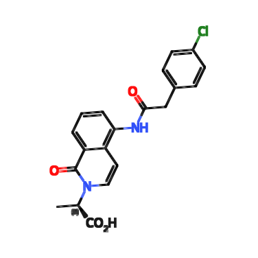 C[C@H](C(=O)O)n1ccc2c(NC(=O)Cc3ccc(Cl)cc3)cccc2c1=O